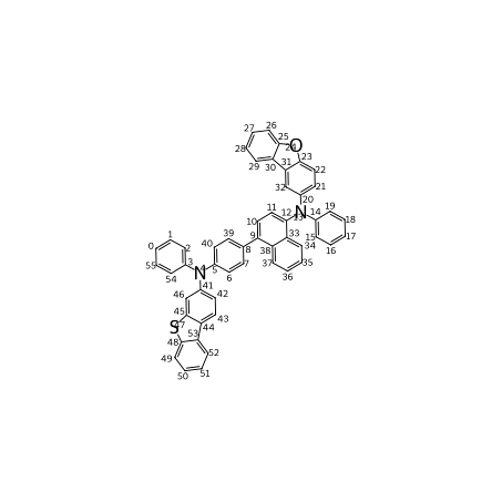 c1ccc(N(c2ccc(-c3ccc(N(c4ccccc4)c4ccc5oc6ccccc6c5c4)c4ccccc34)cc2)c2ccc3c(c2)sc2ccccc23)cc1